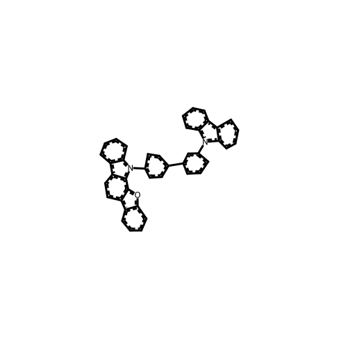 c1cc(-c2ccc(-n3c4ccccc4c4ccc5c6ccccc6oc5c43)cc2)cc(-n2c3ccccc3c3ccccc32)c1